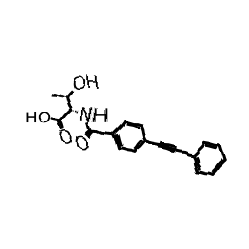 C[C@@H](O)[C@H](NC(=O)c1ccc(C#Cc2ccccc2)cc1)C(=O)O